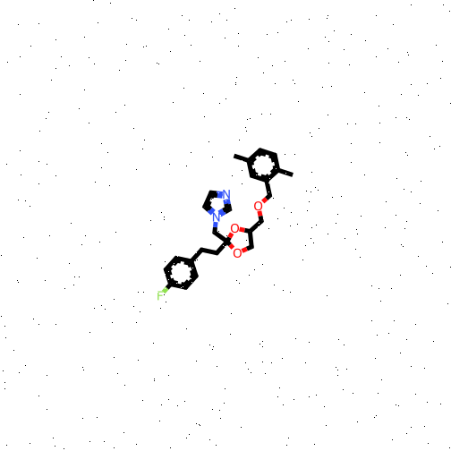 Cc1ccc(C)c(COCC2COC(CCc3ccc(F)cc3)(Cn3ccnc3)O2)c1